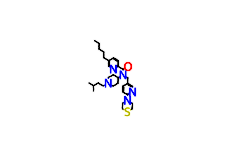 CCCCCc1ccc(C(=O)N(Cc2ccc(N3CCSCC3)nc2)C2CCN(CCC(C)C)CC2)nc1